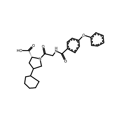 O=C(NCC(=O)N1CC(C2CCCCC2)C[C@@H]1C(=O)O)c1ccc(Oc2ccccc2)cc1